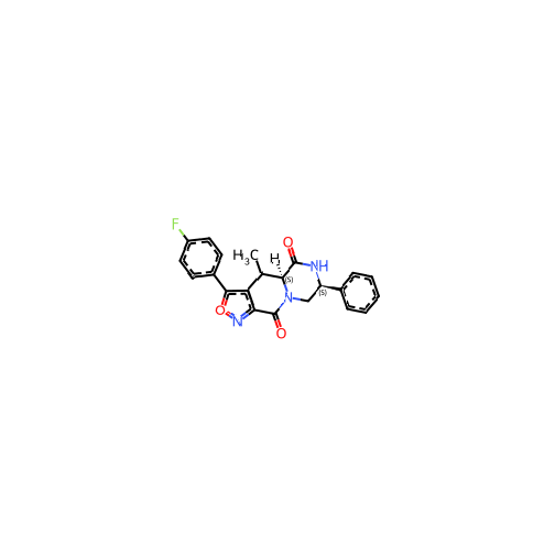 CC1c2c(noc2-c2ccc(F)cc2)C(=O)N2C[C@H](c3ccccc3)NC(=O)[C@H]12